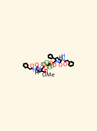 COC(=O)C1=C(C(=O)OC(Cl)(Cl)C(Cl)(Cl)OC(=O)C2=C(c3ccccc3)C[C@@H]3[C@@H](NC(=O)Cc4ccccc4)C(=O)N23)N2C(=O)[C@@H](NC(=O)Cc3ccccc3)[C@H]2C1